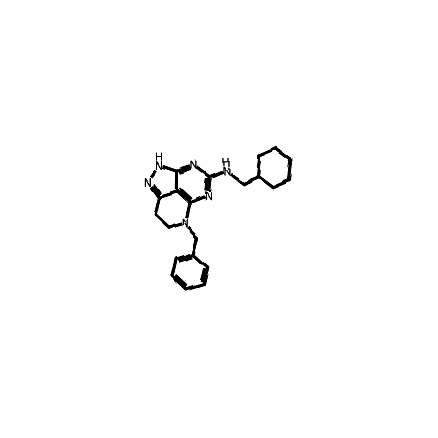 c1ccc(CN2CCc3n[nH]c4nc(NCC5CCCCC5)nc2c34)cc1